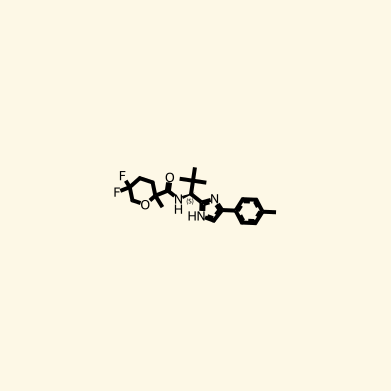 Cc1ccc(-c2c[nH]c([C@@H](NC(=O)C3(C)CCC(F)(F)CO3)C(C)(C)C)n2)cc1